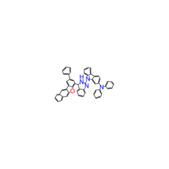 c1ccc(-c2cc(C3NC(n4c5ccccc5c5ccc(N(c6ccccc6)c6ccccc6)cc54)=Nc4ccccc43)c3oc4cc5ccccc5cc4c3c2)cc1